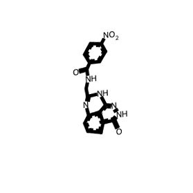 O=C(NCC1=Nc2cccc3c(=O)[nH]nc(c23)N1)c1ccc([N+](=O)[O-])cc1